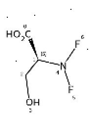 O=C(O)[C@H](CO)N(F)F